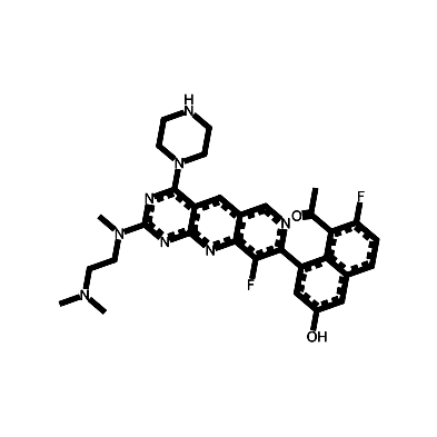 CC(=O)c1c(F)ccc2cc(O)cc(-c3ncc4cc5c(N6CCNCC6)nc(N(C)CCN(C)C)nc5nc4c3F)c12